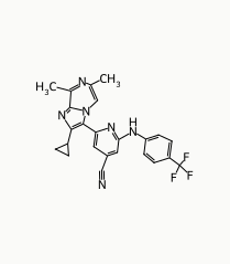 Cc1cn2c(-c3cc(C#N)cc(Nc4ccc(C(F)(F)F)cc4)n3)c(C3CC3)nc2c(C)n1